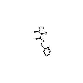 O=C(O)C(=O)C(=O)OCc1ccccc1